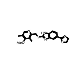 COc1c(C)cnc(CSc2nc3cc(C4=NCCO4)ccc3[nH]2)c1C